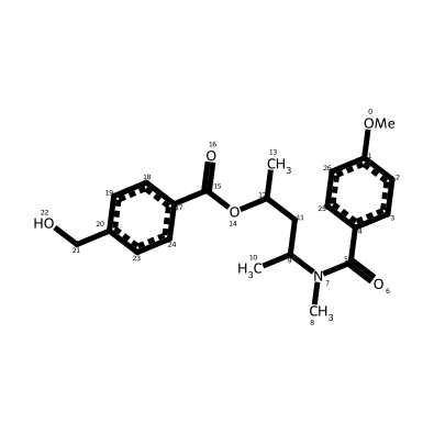 COc1ccc(C(=O)N(C)C(C)CC(C)OC(=O)c2ccc(CO)cc2)cc1